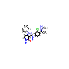 CC(C)(C)N[C@@H](c1ccc(Nc2nn([C@@H](CC#N)C3CC3)c3cc[nH]c(=O)c23)cc1Cl)C(F)(F)F